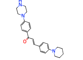 O=C(/C=C/c1ccc(N2CCCCC2)cc1)c1ccc(N2CCNCC2)cc1